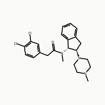 CN1CCN([C@@H]2Cc3ccccc3[C@H]2N(C)C(=O)Cc2ccc(Cl)c(Cl)c2)CC1